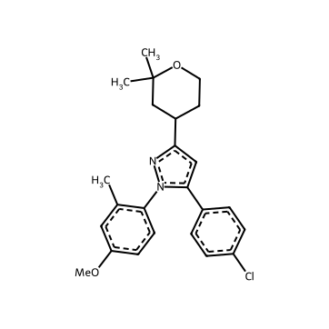 COc1ccc(-n2nc(C3CCOC(C)(C)C3)cc2-c2ccc(Cl)cc2)c(C)c1